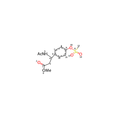 COC(=O)CC(NC(C)=O)c1ccc(OS(C)(=O)=O)cc1